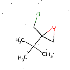 CC(C)(C)C1(CCl)CO1